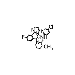 C[C@@H]1CCCN(C(=O)c2ccc(F)cc2-c2ncccn2)C1CNc1ccc(Cl)cn1